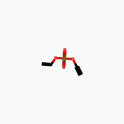 C#COS(=O)(=O)OC=C